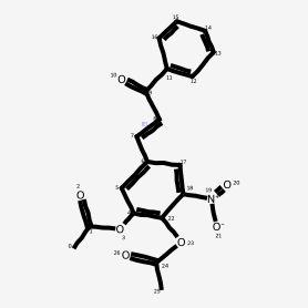 CC(=O)Oc1cc(/C=C/C(=O)c2ccccc2)cc([N+](=O)[O-])c1OC(C)=O